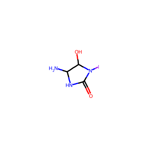 NC1NC(=O)N(I)C1O